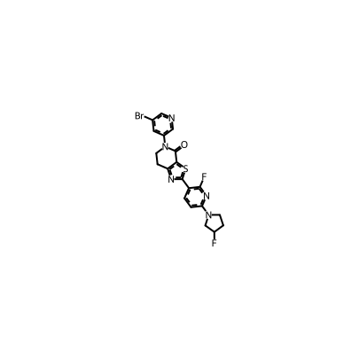 O=C1c2sc(-c3ccc(N4CCC(F)C4)nc3F)nc2CCN1c1cncc(Br)c1